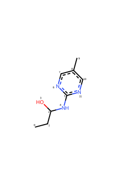 CCC(O)Nc1ncc(C)cn1